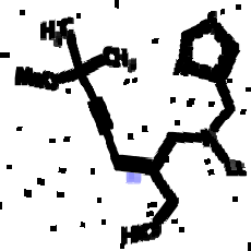 CCN(C/C(=C\C#CC(C)(C)OC)CO)Cc1cscn1